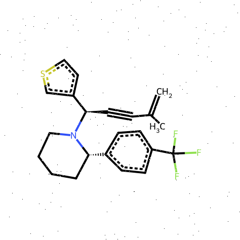 C=C(C)C#C[C@H](c1ccsc1)N1CC[CH]C[C@H]1c1ccc(C(F)(F)F)cc1